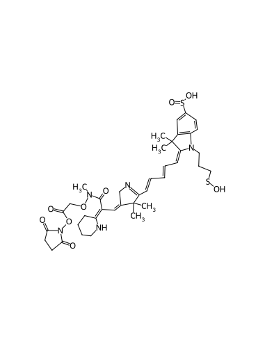 CN(OCC(=O)ON1C(=O)CCC1=O)C(=O)C(/C=C1\CN=C(/C=C/C=C/C=C2/N(CCCSO)c3ccc(S(=O)O)cc3C2(C)C)C1(C)C)=C1\CCCCN1